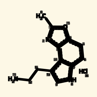 Cc1nc2c(ccc3[nH]cc(CCN)c32)o1.Cl